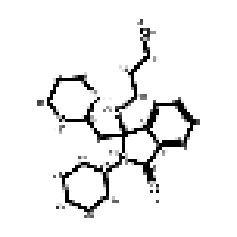 O=C1c2ccccc2C(CC2SCCCS2)(SCCCS)N1C1CCCCC1